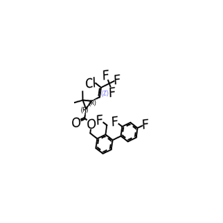 CC1(C)[C@H](C(=O)OCc2cccc(-c3ccc(F)cc3F)c2CF)[C@@H]1/C=C(\Cl)C(F)(F)F